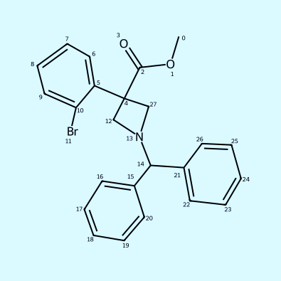 COC(=O)C1(c2ccccc2Br)CN(C(c2ccccc2)c2ccccc2)C1